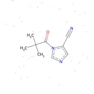 CC(C)(C)C(=O)n1cncc1C#N